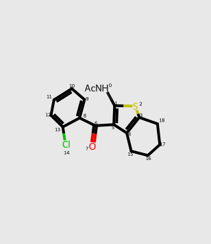 CC(=O)Nc1sc2c(c1C(=O)c1ccccc1Cl)CCCC2